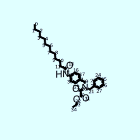 CCCCCCCCCCCCC(=O)Nc1ccc(CN(Cc2ccccc2)C(=O)C(=O)OCC)cc1